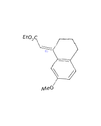 CCOC(=O)/C=C1\CCCc2ccc(OC)cc21